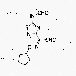 O=[C]C(=NOC1CCCC1)c1nsc(NC=O)n1